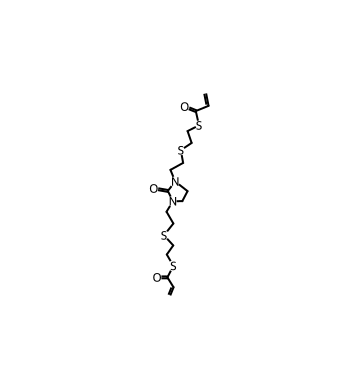 C=CC(=O)SCCSCCN1CCN(CCSCCSC(=O)C=C)C1=O